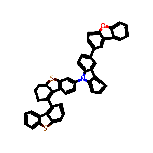 C1=c2sc3cc(-n4c5ccccc5c5cc(-c6ccc7oc8ccccc8c7c6)ccc54)ccc3c2=C(c2cccc3sc4ccccc4c23)CC1